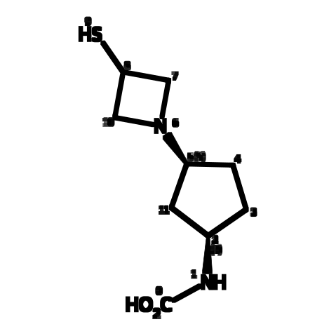 O=C(O)N[C@@H]1CC[C@H](N2CC(S)C2)C1